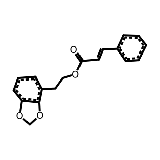 O=C(/C=C/c1ccccc1)OCCc1cccc2c1OCO2